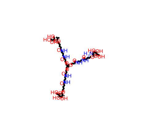 CC(C)[C@H](OCCCCC(=O)NCCCNC(=O)CCOCC(C)(COCCC(=O)NCCCNC(=O)CCCCO[C@@H]1OC(CO)[C@H](O)C(O)[C@@H]1C)COCCC(=O)NCCCNC(=O)CCCCO[C@@H]1OC(CO)[C@H](O)C(O)[C@@H]1N)OC(CO)[C@H](O)CO